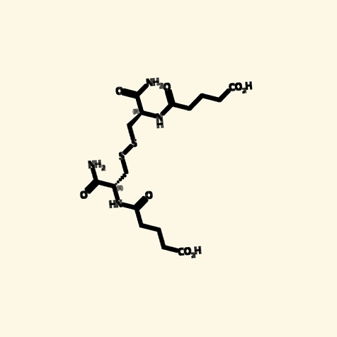 NC(=O)[C@H](CSSC[C@H](NC(=O)CCCC(=O)O)C(N)=O)NC(=O)CCCC(=O)O